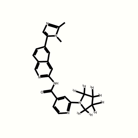 [2H]C1([2H])N(c2cc(C(=O)Nc3cc4cc(-c5cnc(C)n5C)ccc4cn3)ccn2)C([2H])([2H])C([2H])([2H])C1([2H])[2H]